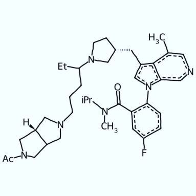 CCC(CCCN1CC2CN(C(C)=O)C[C@@H]2C1)N1CC[C@H](Cc2cn(-c3ccc(F)cc3C(=O)N(C)C(C)C)c3cncc(C)c23)C1